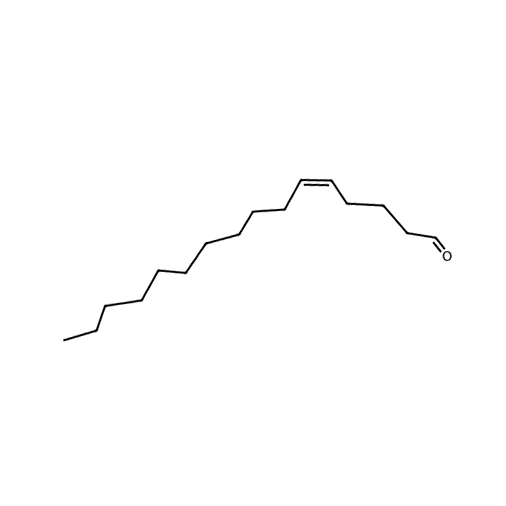 CCCCCCCCCC/C=C\CCCC=O